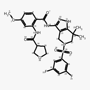 COc1ccc(C(=O)Nc2n[nH]c3c2CN(S(=O)(=O)c2cc(F)cc(F)c2)CC3(C)C)c(NC(=O)C2CCOC2)c1